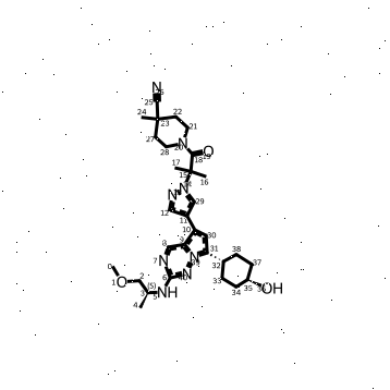 COC[C@H](C)Nc1ncc2c(-c3cnn(C(C)(C)C(=O)N4CCC(C)(C#N)CC4)c3)cc([C@H]3CC[C@H](O)CC3)n2n1